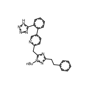 CCCCn1nc(CCc2ccccc2)nc1Cc1ccc(-c2ccccc2-c2nnn[nH]2)cn1